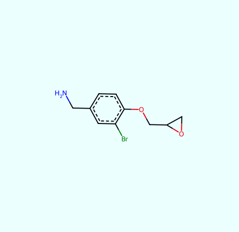 NCc1ccc(OCC2CO2)c(Br)c1